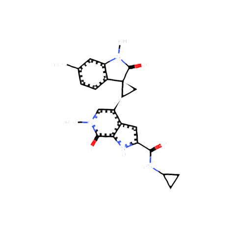 Cc1ccc2c(c1)N(C)C(=O)[C@@]21C[C@H]1c1cn(C)c(=O)c2[nH]c(C(=O)NC3CC3)cc12